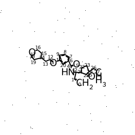 C=CC(NC(=O)c1cccc(OCCC2CCOCC2)c1)C1CCC(O)(CC)C1